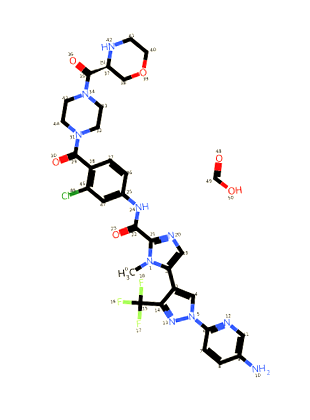 Cn1c(-c2cn(-c3ccc(N)cn3)nc2C(F)(F)F)cnc1C(=O)Nc1ccc(C(=O)N2CCN(C(=O)[C@@H]3COCCN3)CC2)c(Cl)c1.O=CO